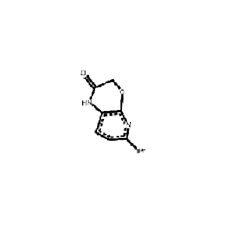 CC(C)c1ccc2c(n1)OCC(=O)N2